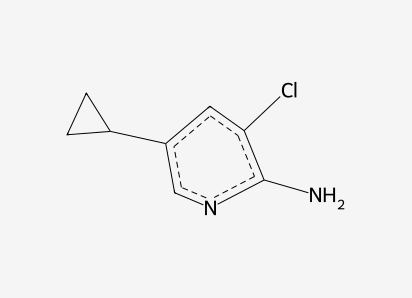 Nc1ncc(C2CC2)cc1Cl